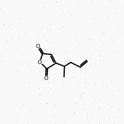 C=CCC(C)C1=CC(=O)OC1=O